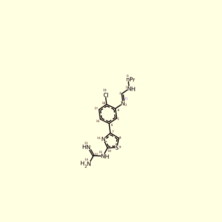 CCCN/C=N/c1cc(-c2csc(NC(=N)N)n2)ccc1Cl